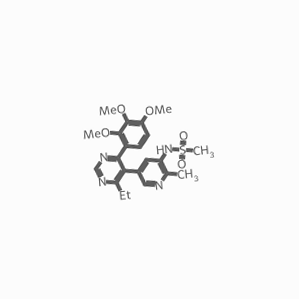 CCc1ncnc(-c2ccc(OC)c(OC)c2OC)c1-c1cnc(C)c(NS(C)(=O)=O)c1